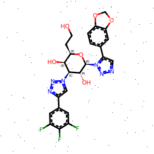 OCC[C@H]1O[C@@H](n2nncc2-c2ccc3c(c2)OCO3)[C@H](O)[C@@H](n2cc(-c3cc(F)c(F)c(F)c3)nn2)[C@H]1O